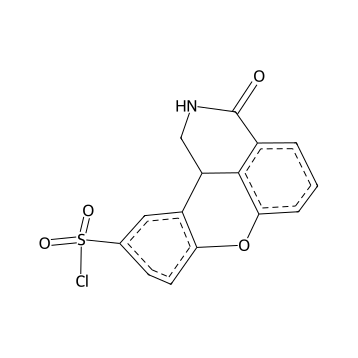 O=C1NCC2c3cc(S(=O)(=O)Cl)ccc3Oc3cccc1c32